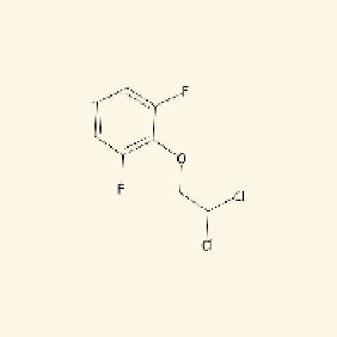 Fc1c[c]cc(F)c1OCC(Cl)Cl